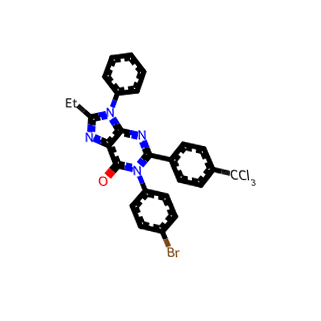 CCc1nc2c(=O)n(-c3ccc(Br)cc3)c(-c3ccc(C(Cl)(Cl)Cl)cc3)nc2n1-c1ccccc1